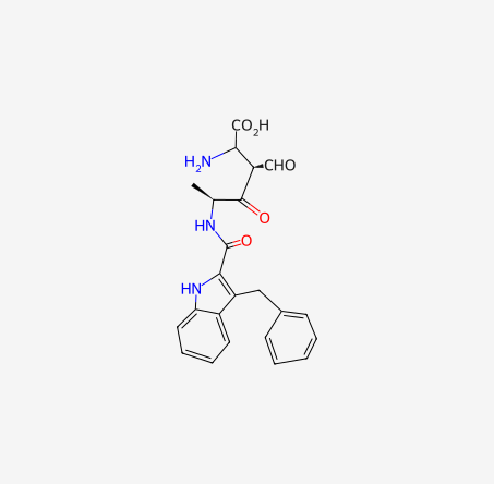 C[C@H](NC(=O)c1[nH]c2ccccc2c1Cc1ccccc1)C(=O)[C@H](C=O)C(N)C(=O)O